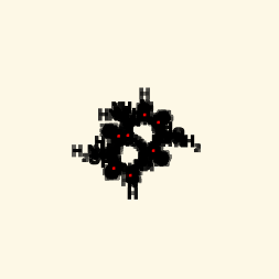 N=C(N)NCCC[C@@H]1NC(=O)[C@@H]2CSSC(NC(=O)[C@H](Cc3c[nH]c4ccccc34)NC(=O)[C@H](CCCNC(N)=O)NC(=O)[C@@H](Cc3ccccc3)NC(=O)[C@H](Cc3c[nH]cn3)NC1=O)C(=O)NC(=O)N[C@@H](Cc1c[nH]cn1)C(=O)N[C@H](Cc1ccccc1)C(=O)N[C@@H](CCCNC(N)=O)C(=O)N[C@@H](Cc1c[nH]c3ccccc13)C(=O)N2